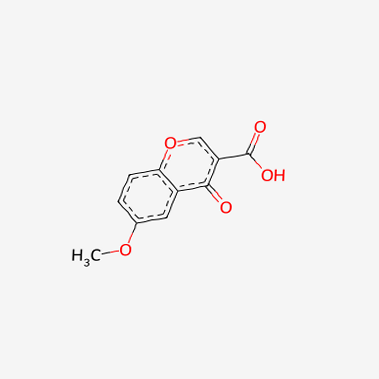 COc1ccc2occ(C(=O)O)c(=O)c2c1